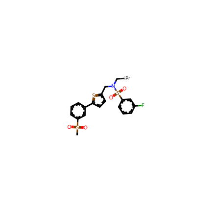 CC(C)CN(Cc1ccc(-c2cccc(S(C)(=O)=O)c2)s1)S(=O)(=O)c1cccc(F)c1